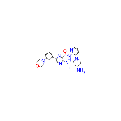 Nc1ncc(-c2cccc(N3CCOCC3)c2)nc1C(=O)Nc1ncccc1N1CCC(N)CC1